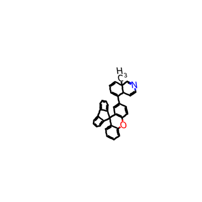 CC12C=CC=C(c3ccc4c(c3)C3(c5ccccc5O4)c4ccccc4-c4ccccc43)C1C=CN=C2